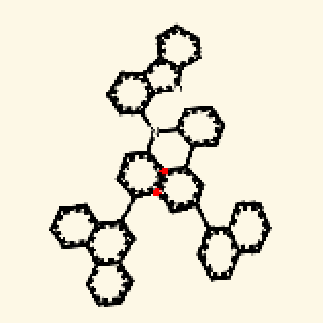 c1cc(-c2ccccc2N(c2ccc(-c3cc4ccccc4c4ccccc34)cc2)c2cccc3c2oc2ccccc23)cc(-c2cccc3ccccc23)c1